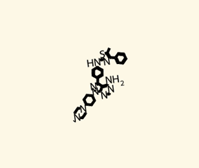 Cc1sc(Nc2ccc(-c3nn([C@H]4CC[C@@H](N5CCN(C)CC5)CC4)c4ncnc(N)c34)cc2)nc1-c1ccccc1